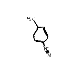 CC1C=CC([N+]#N)=CC1